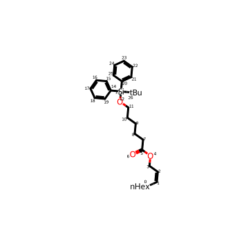 CCCCCC/C=C\COC(=O)CCCCCO[Si](c1ccccc1)(c1ccccc1)C(C)(C)C